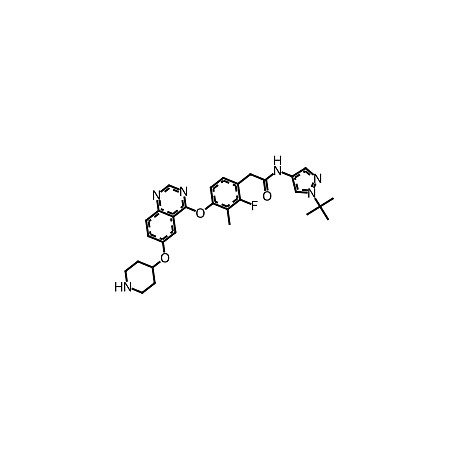 Cc1c(Oc2ncnc3ccc(OC4CCNCC4)cc23)ccc(CC(=O)Nc2cnn(C(C)(C)C)c2)c1F